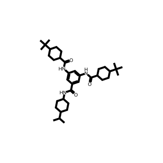 CC(C)C1CCC(NC(=O)c2cc(NC(=O)C3CCC(C(C)(C)C)CC3)cc(NC(=O)C3CCC(C(C)(C)C)CC3)c2)CC1